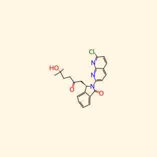 CC(C)(O)CCC(=O)C[C@@H]1c2ccccc2C(=O)N1c1ccc2ccc(Cl)nc2n1